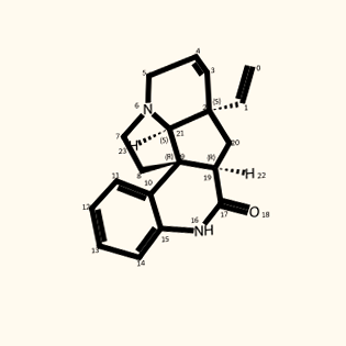 C=C[C@]12C=CCN3CC[C@@]4(c5ccccc5NC(=O)[C@@H]4C1)[C@@H]32